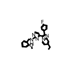 CCc1ccn2c(-c3ccnc(NCc4ccccc4OC)n3)c(-c3ccc(F)cc3)nc2c1